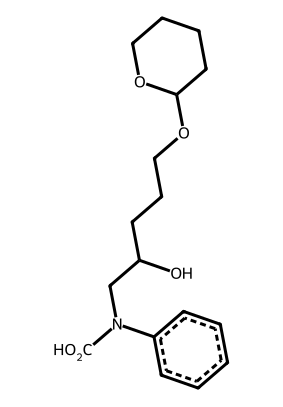 O=C(O)N(CC(O)CCCOC1CCCCO1)c1ccccc1